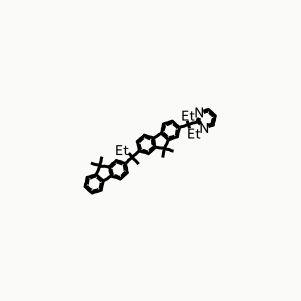 CCC(C)(c1ccc2c(c1)C(C)(C)c1ccccc1-2)c1ccc2c(c1)C(C)(C)c1cc(C(CC)(CC)c3ncccn3)ccc1-2